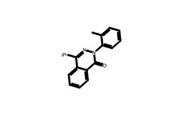 Cc1ccccc1-n1nc(C(C)C)c2ccccc2c1=O